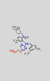 CCOC(=O)CC1CCC(CN(CC)c2ccc(C(F)(F)F)cc2CN(Cc2cc(C(F)(F)F)cc(C(F)(F)F)c2)c2ncc(OCCO)cn2)CC1